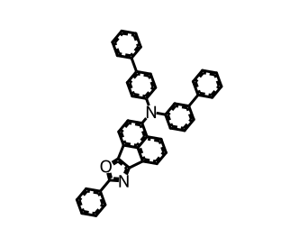 c1ccc(-c2ccc(N(c3cccc(-c4ccccc4)c3)c3ccc4c5c(cccc35)-c3nc(-c5ccccc5)oc3-4)cc2)cc1